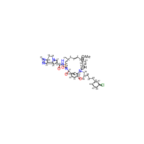 CO[C@H]1/C=C/C[C@H](C)CS(=O)(NC(=O)c2cc3n(c2)CCc2c-3cnn2C)=NC(=O)c2ccc3c(c2)N(C[C@@H](CCCc2cccc(Cl)c2)CO3)C[C@@H]2CC[C@H]21